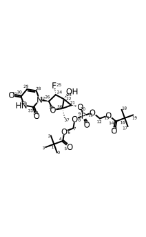 CC(C)(C)C(=O)OCOP(=O)(OCOC(=O)C(C)(C)C)O[C@H]1[C@]2(O)[C@@H](F)[C@H](n3ccc(=O)[nH]c3=O)O[C@]12C